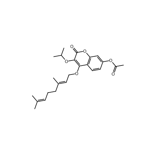 CC(=O)Oc1ccc2c(OC/C=C(\C)CCC=C(C)C)c(OC(C)C)c(=O)oc2c1